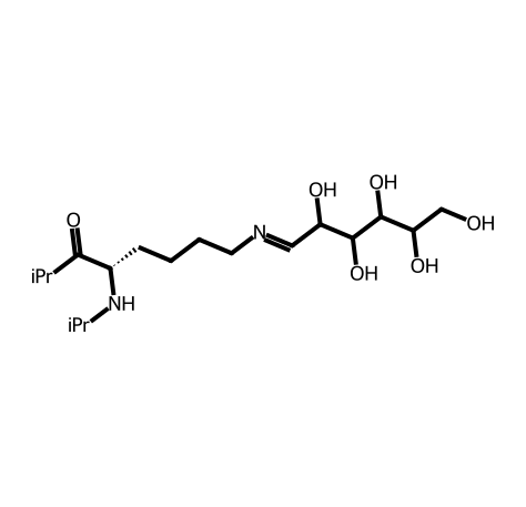 CC(C)N[C@@H](CCCC/N=C/C(O)C(O)C(O)C(O)CO)C(=O)C(C)C